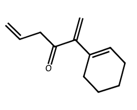 C=CCC(=O)C(=C)C1=CCCCC1